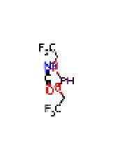 FC(F)(F)COPOCC(F)(F)F.N=C=O